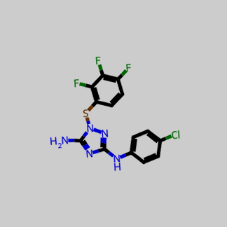 Nc1nc(Nc2ccc(Cl)cc2)nn1Sc1ccc(F)c(F)c1F